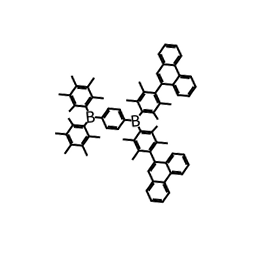 Cc1c(C)c(C)c(B(c2ccc(B(c3c(C)c(C)c(-c4cc5ccccc5c5ccccc45)c(C)c3C)c3c(C)c(C)c(-c4cc5ccccc5c5ccccc45)c(C)c3C)cc2)c2c(C)c(C)c(C)c(C)c2C)c(C)c1C